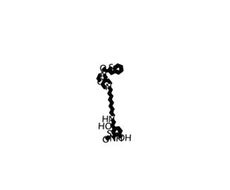 O=C(c1cc2ccccc2s1)N1CCOC2(CCN(CCCCCCCCCNC[C@H](O)c3ccc(O)c4[nH]c(=O)sc34)CC2)C1